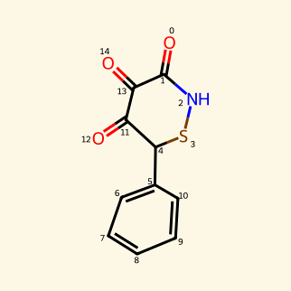 O=C1NSC(c2ccccc2)C(=O)C1=O